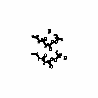 CCCC(=O)CC(=O)OOC(C)C.CCCC(=O)CC(=O)OOC(C)C.[Ti].[Ti]